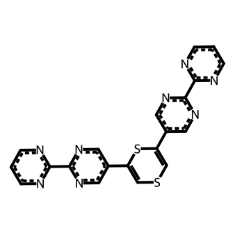 C1=C(c2cnc(-c3ncccn3)nc2)SC(c2cnc(-c3ncccn3)nc2)=CS1